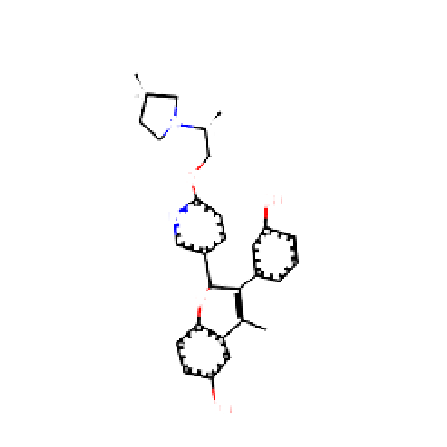 CC1=C(c2cccc(O)c2)C(c2ccc(OC[C@H](C)N3CC[C@@H](C)C3)nc2)Oc2ccc(O)cc21